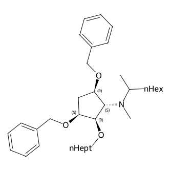 CCCCCCCO[C@@H]1[C@@H](N(C)C(C)CCCCCC)[C@H](OCc2ccccc2)C[C@@H]1OCc1ccccc1